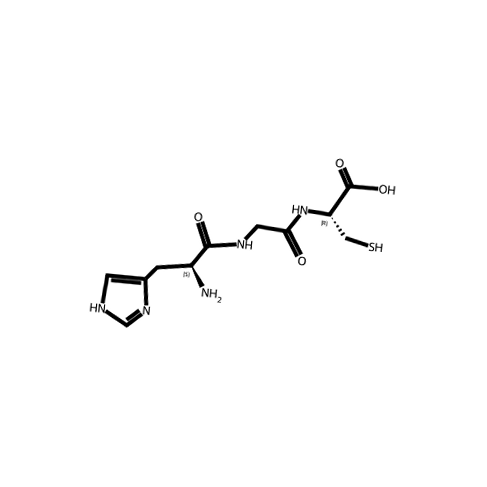 N[C@@H](Cc1c[nH]cn1)C(=O)NCC(=O)N[C@@H](CS)C(=O)O